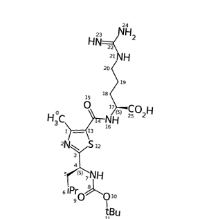 Cc1nc([C@H](CC(C)C)NC(=O)OC(C)(C)C)sc1C(=O)N[C@@H](CCCNC(=N)N)C(=O)O